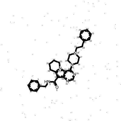 O=C(NCc1ccccc1)c1c2n(c3c(N4CCN(CCc5ccccc5)CC4)ncnc13)CCCC2